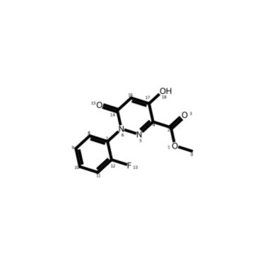 COC(=O)c1nn(-c2ccccc2F)c(=O)cc1O